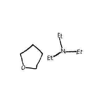 C1CCOC1.CCN(CC)CC